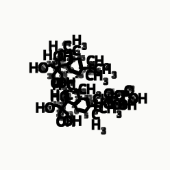 CC(C)(C)c1ccc(C(O)C(CO)(CO)CO)c(C(C)(C)C)c1.CC(C)(C)c1ccc(C(O)C(CO)(CO)CO)c(C(C)(C)C)c1.O=P(O)(O)OP(=O)(O)O